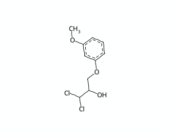 COc1cccc(OCC(O)C(Cl)Cl)c1